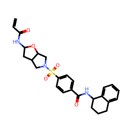 C=CC(=O)NC1CC2CN(S(=O)(=O)c3ccc(C(=O)NC4CCCc5ccccc54)cc3)CC2O1